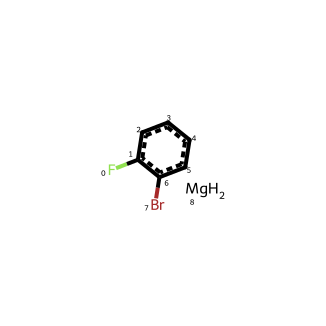 Fc1c[c]ccc1Br.[MgH2]